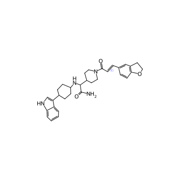 NC(=O)C(NC1CCC(c2c[nH]c3ccccc23)CC1)C1CCN(C(=O)/C=C/c2ccc3c(c2)CCO3)CC1